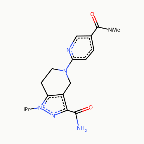 CNC(=O)c1ccc(N2CCc3c(c(C(N)=O)nn3C(C)C)C2)nc1